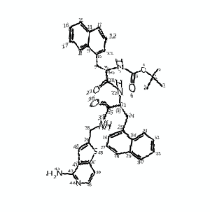 CC(C)(C)OC(=O)N[C@H](Cc1cccc2ccccc12)C(=O)N[C@@H](Cc1cccc2ccccc12)C(=O)NCc1cc2c(N)nccc2s1